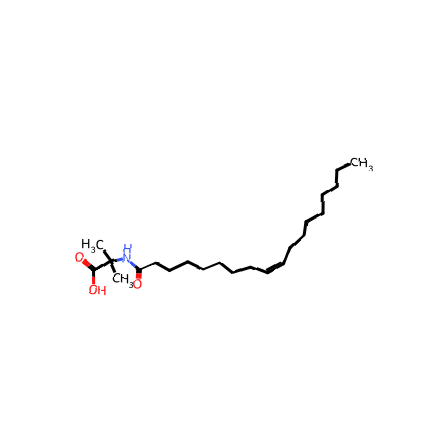 CCCCCCCC/C=C\CCCCCCCC(=O)NC(C)(C)C(=O)O